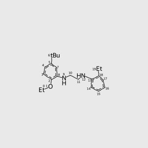 CCOc1ccc(C(C)(C)C)cc1NCCNc1ccccc1CC